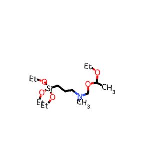 CCOC(C)OCN(C)CCC[Si](OCC)(OCC)OCC